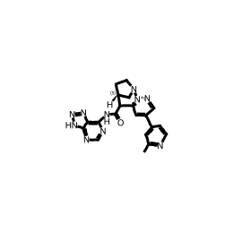 Cc1cc(-c2cn[n+]3c(c2)C(C(=O)Nc2ncnc4[nH]nnc24)[C@@H]2CCN3C2)ccn1